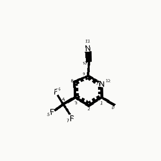 Cc1cc(C(F)(F)F)cc(C#N)n1